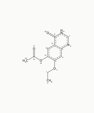 CCOc1cc2nc[nH]c(=O)c2cc1OC(C)=O